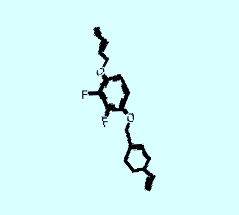 C=CC1CCC(COc2ccc(OC/C=C/C)c(F)c2F)CC1